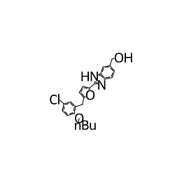 CCCCOc1ccc(Cl)cc1Cc1ccc(-c2nc3ccc(CO)cc3[nH]2)o1